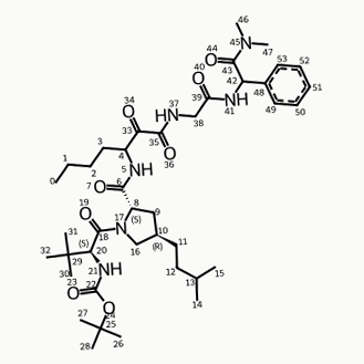 CCCCC(NC(=O)[C@@H]1C[C@@H](CCC(C)C)CN1C(=O)[C@@H](NC(=O)OC(C)(C)C)C(C)(C)C)C(=O)C(=O)NCC(=O)NC(C(=O)N(C)C)c1ccccc1